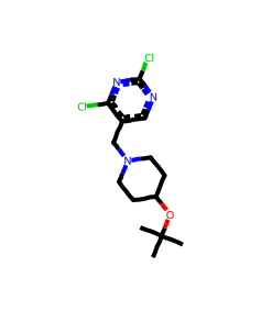 CC(C)(C)OC1CCN(Cc2cnc(Cl)nc2Cl)CC1